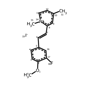 COc1ccc(/C=C/c2cc(C)cc[n+]2C)cc1F.[I-]